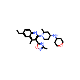 CCc1ccc2nc(N3CC[C@@H](NC4CCOCC4)CC3C)c(-c3nc(C)no3)c(C)c2c1